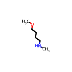 CNCCCCOC